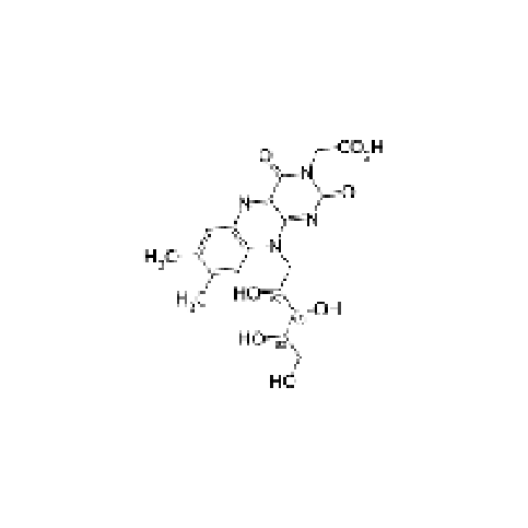 Cc1cc2nc3c(=O)n(CC(=O)O)c(=O)nc-3n(C[C@H](O)[C@H](O)[C@H](O)CO)c2cc1C